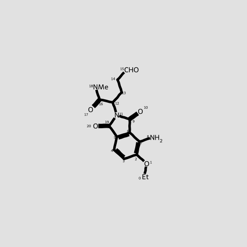 CCOc1ccc2c(c1N)C(=O)N(C(CCC=O)C(=O)NC)C2=O